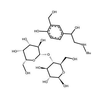 CC(C)(C)NCC(O)c1ccc(O)c(CO)c1.OC[C@H]1O[C@@H](O[C@H]2[C@H](O)[C@@H](O)[C@H](O)O[C@@H]2CO)[C@H](O)[C@@H](O)[C@H]1O